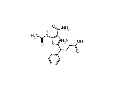 NC(=O)Nc1sc(C(C[C@H](N)C(=O)O)c2ccccc2)cc1C(N)=O